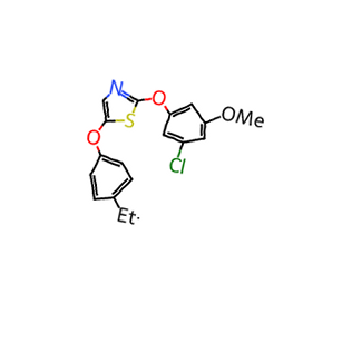 C[CH]c1ccc(Oc2cnc(Oc3cc(Cl)cc(OC)c3)s2)cc1